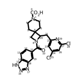 O=C(O)N1CCC2(CC1)CN(C(=O)c1ccc3[nH]nnc3c1)C2Cc1cc(Cl)cc(Cl)n1